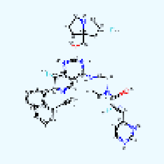 C#Cc1cccc2cccc(-c3ncc4c(N5CCN(C(=O)/C(F)=C/c6ccncn6)CC5)nc(OC[C@@]56CCCN5C[C@H](F)C6)nc4c3F)c12